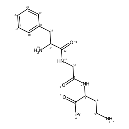 CC(C)C(=O)C(CCN)NC(=O)CNC(=O)C(N)Cc1ccccc1